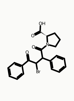 O=C(c1ccccc1)C(Br)C(C(=O)N1CCC[C@H]1C(=O)O)c1ccccc1